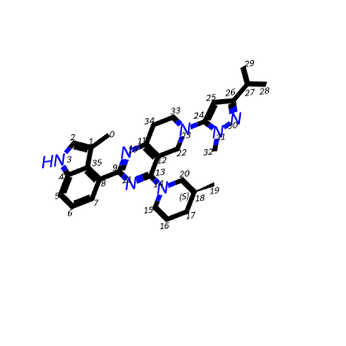 Cc1c[nH]c2cccc(-c3nc4c(c(N5CCC[C@H](C)C5)n3)CN(c3cc(C(C)C)nn3C)CC4)c12